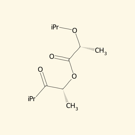 CC(C)O[C@H](C)C(=O)O[C@H](C)C(=O)C(C)C